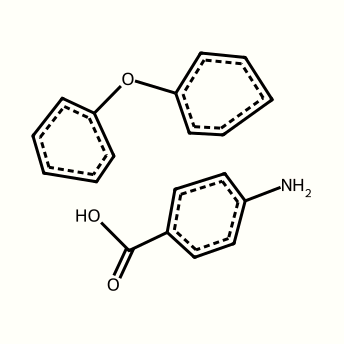 Nc1ccc(C(=O)O)cc1.c1ccc(Oc2ccccc2)cc1